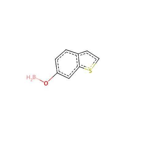 BOc1ccc2ccsc2c1